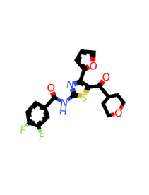 O=C(Nc1nc(-c2ccco2)c(C(=O)C2CCOCC2)s1)c1ccc(F)c(F)c1